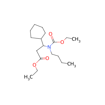 CCCCN(C(=O)OCC)C(CC(=O)OCC)C1CCCCC1